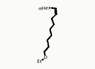 CCCCCC/C=C\CCCCCCCOCC